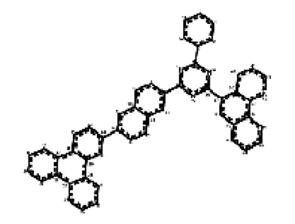 c1ccc(-c2nc(-c3ccc4cc(-c5ccc6c7ccccc7c7ccccc7c6c5)ccc4c3)nc(-c3cc4ccccc4c4ncccc34)n2)cc1